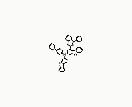 c1ccc(-c2ccc(N(c3cc(-c4nc(-c5ccccc5)c5ccccc5n4)c4c(c3)oc3ccccc34)c3ccc4c(c3)sc3ccccc34)cc2)cc1